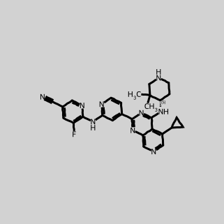 CC1(C)CNCC[C@@H]1Nc1nc(-c2ccnc(Nc3ncc(C#N)cc3F)c2)nc2cncc(C3CC3)c12